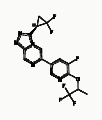 CC(Oc1ncc(-c2cn3c([C@H]4CC4(F)F)nnc3cn2)cc1F)C(F)(F)F